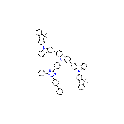 CC1(C)c2ccccc2-c2ccc(-n3c4ccccc4c4cc(-c5ccc6c7ccc(-c8ccc9c(c8)c8ccccc8n9-c8ccc9c(c8)C(C)(C)c8ccccc8-9)cc7n(-c7ccc(-c8nc(-c9ccccc9)nc(-c9ccc(-c%10ccccc%10)cc9)n8)cc7)c6c5)ccc43)cc21